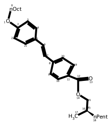 CCCCCCCCOc1ccc(C=Cc2ccc(C(=O)OC[C@H](C)CCCCC)cc2)cc1